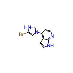 BrC1=CN(c2ccnc3[nH]ccc23)CN1